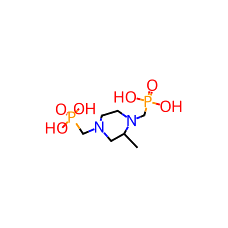 CC1CN(CP(=O)(O)O)CCN1CP(=O)(O)O